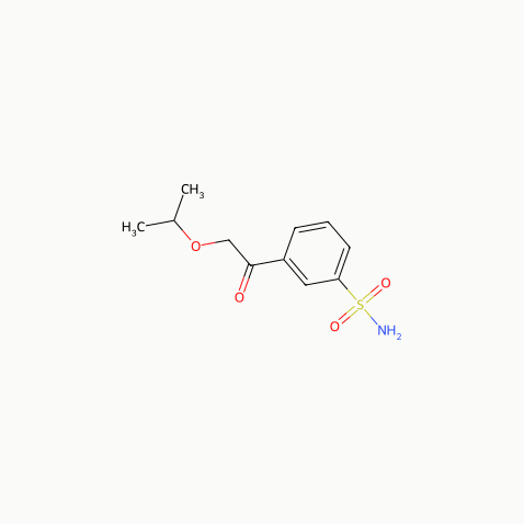 CC(C)OCC(=O)c1cccc(S(N)(=O)=O)c1